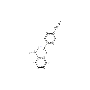 C=C(/C=C(\C)c1ccc(C#N)cc1)c1ccccc1